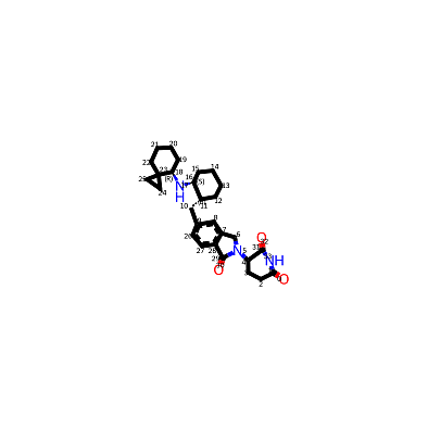 O=C1CCC(N2Cc3cc(C[C@H]4CCCC[C@@H]4N[C@@H]4CCCCC45CC5)ccc3C2=O)C(=O)N1